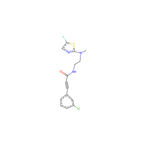 CN(CCNC(=O)C#Cc1cccc(Cl)c1)c1ncc(F)s1